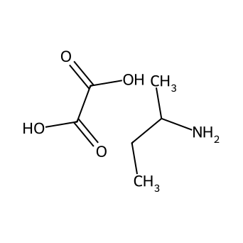 CCC(C)N.O=C(O)C(=O)O